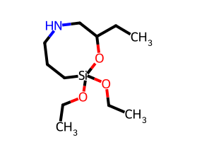 CCO[Si]1(OCC)CCCNCC(CC)O1